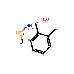 CPN.Cc1ccccc1C.O